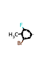 Cc1c(F)c[c]cc1Br